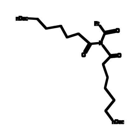 CCCCCCCCCCCCCCCC(=O)N(C(=O)CC)C(=O)CCCCCCCCCCCCCCC